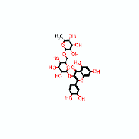 C[C@H]1O[C@@H](OC[C@H]2O[C@@H](Oc3c(-c4ccc(O)c(O)c4)oc4cc(O)cc(O)c4c3=O)[C@H](O)[C@@H](O)[C@@H]2O)[C@H](O)[C@@H](O)[C@@H]1O